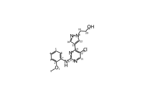 COc1c[c]ccc1Nc1ncc(Cl)c(-c2cnn(CCO)c2)n1